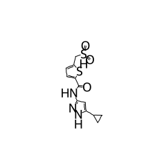 O=C(Nc1cc(C2CC2)[nH]n1)c1ccc(C[SH](=O)=O)s1